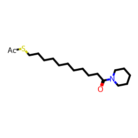 CC(=O)SCCCCCCCCCCC(=O)N1CCCCC1